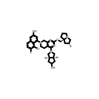 CCc1c(F)ccc2cc(O)cc(N3CCc4c(nc(OC[C@@]56CCCN5C[C@H](F)C6)nc4N4C[C@H]5CC(O)C[C@H]5C4)C3)c12